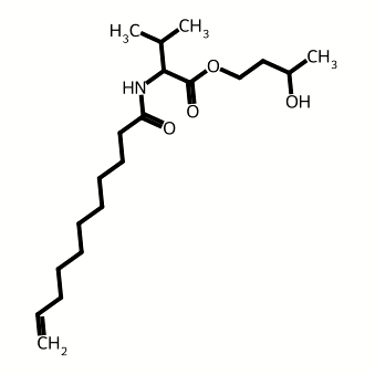 C=CCCCCCCCCC(=O)NC(C(=O)OCCC(C)O)C(C)C